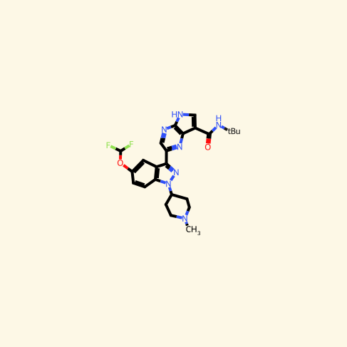 CN1CCC(n2nc(-c3cnc4[nH]cc(C(=O)NC(C)(C)C)c4n3)c3cc(OC(F)F)ccc32)CC1